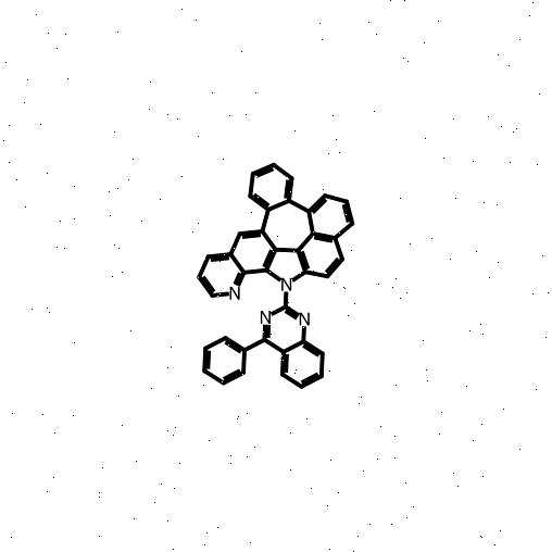 c1ccc(-c2nc(-n3c4ccc5cccc6c5c4c4c(cc5cccnc5c43)-c3ccccc3-6)nc3ccccc23)cc1